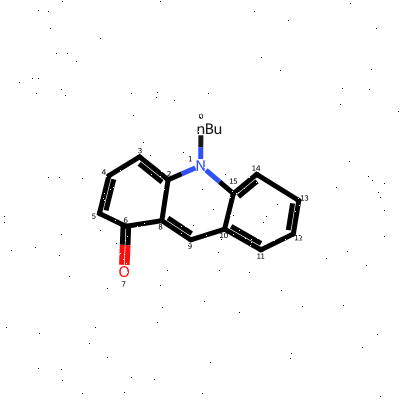 CCCCn1c2cccc(=O)c-2cc2ccccc21